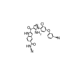 N#CNC(=O)c1ccc2[nH]c(C(=O)c3cnn(-c4ccc(Oc5cccc(C#N)c5)cc4Cl)c3N)cc2c1